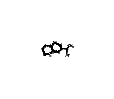 CC(C)C(C)c1cnc2ccccc2c1